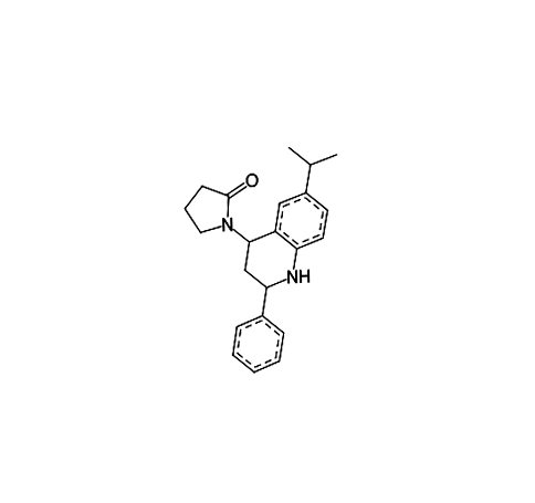 CC(C)c1ccc2c(c1)C(N1CCCC1=O)CC(c1ccccc1)N2